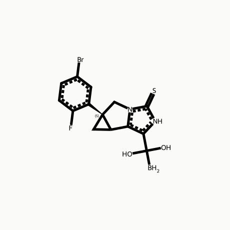 BC(O)(O)c1[nH]c(=S)n2c1C1C[C@]1(c1cc(Br)ccc1F)C2